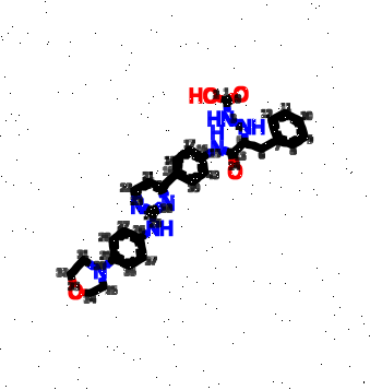 O=C(O)NNC(Cc1ccccc1)C(=O)Nc1ccc(-c2ccnc(Nc3ccc(N4CCOCC4)cc3)n2)cc1